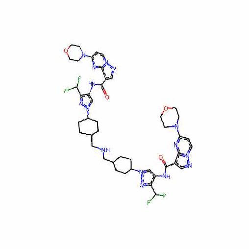 O=C(Nc1cn(C2CCC(CNCC3CCC(n4cc(NC(=O)c5cnn6ccc(N7CCOCC7)nc56)c(C(F)F)n4)CC3)CC2)nc1C(F)F)c1cnn2ccc(N3CCOCC3)nc12